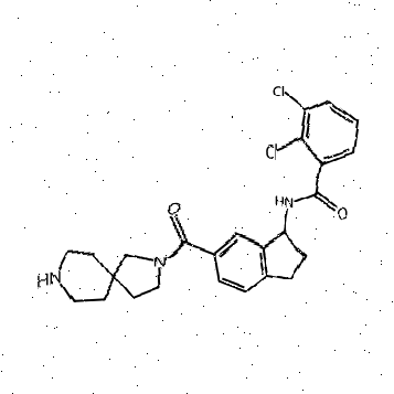 O=C(NC1CCc2ccc(C(=O)N3CCC4(CCNCC4)C3)cc21)c1cccc(Cl)c1Cl